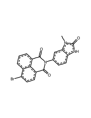 Cn1c(=O)[nH]c2ccc(N3C(=O)c4cccc5c(Br)ccc(c45)C3=O)cc21